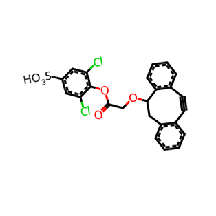 O=C(COC1Cc2ccccc2C#Cc2ccccc21)Oc1c(Cl)cc(S(=O)(=O)O)cc1Cl